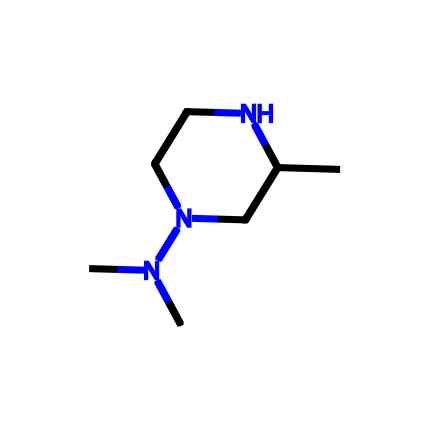 CC1CN(N(C)C)CCN1